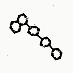 c1ccc(-c2ccc(-c3ccc(-c4nccc5ccccc45)cc3)cn2)cc1